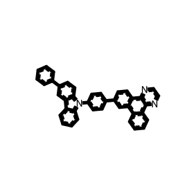 c1ccc(-c2ccc3c(c2)c2ccccc2n3-c2ccc(-c3ccc4c(c3)c3ccccc3c3nccnc43)cc2)cc1